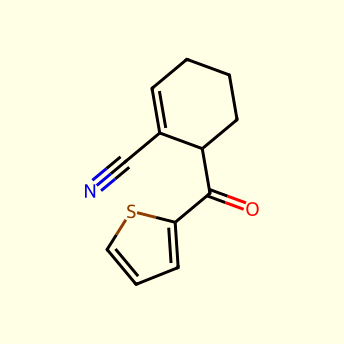 N#CC1=CCCCC1C(=O)c1cccs1